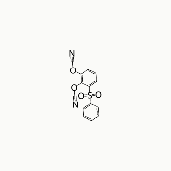 N#COc1cccc(S(=O)(=O)c2ccccc2)c1OC#N